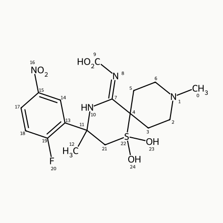 CN1CCC2(CC1)C(=NC(=O)O)NC(C)(c1cc([N+](=O)[O-])ccc1F)CS2(O)O